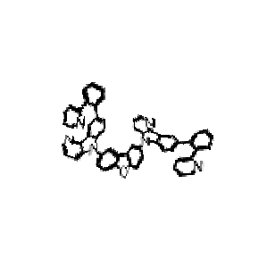 c1ccc(-c2ccccc2-c2ccc3c(c2)c2ncccc2n3-c2ccc3oc4ccc(-n5c6ccc(-c7ccccc7-c7ccccn7)cc6c6ncccc65)cc4c3c2)nc1